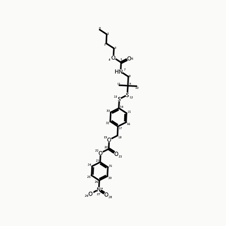 CCCCOC(=O)NCC(C)(C)SSc1ccc(COC(=O)Oc2ccc([N+](=O)[O-])cc2)cc1